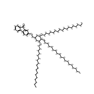 CCCCCCCCCCCCCCCCCCOC1CC(COc2ccc3c(c2)C(=O)c2ccccc2-3)CC(OCCCCCCCCCCCCCCCCCC)C1OCCCCCCCCCCCCCCCCCC